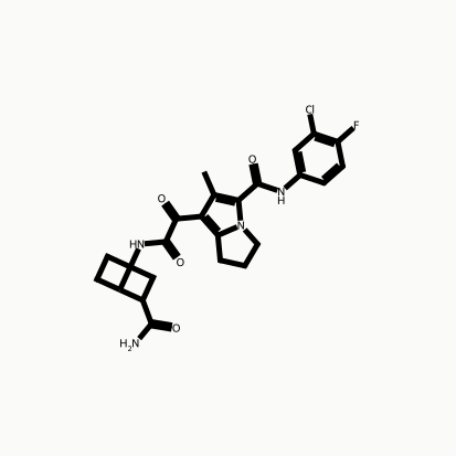 Cc1c(C(=O)C(=O)NC23CCC2C(C(N)=O)C3)c2n(c1C(=O)Nc1ccc(F)c(Cl)c1)CCC2